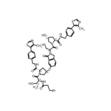 Cc1ncsc1-c1ccc(CNC(=O)[C@@H]2C[C@@H](Oc3ccc4c(c3)C(=O)N([C@@H](CS)C(=O)N3C[C@H](O)C[C@H]3C(=O)NCc3ccc(-c5scnc5C)cc3)C4)CN2C(=O)[C@@H](NC(=O)CCC(C)C)[C@H](C)O)cc1